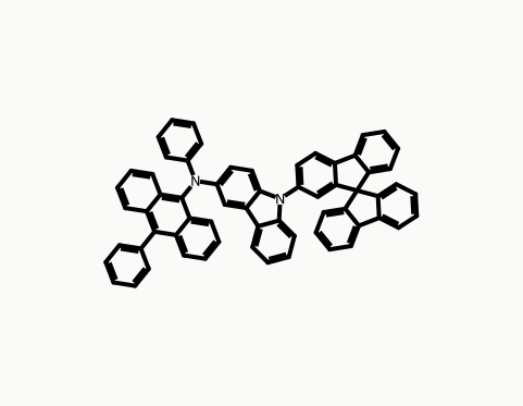 c1ccc(-c2c3ccccc3c(N(c3ccccc3)c3ccc4c(c3)c3ccccc3n4-c3ccc4c(c3)C3(c5ccccc5-c5ccccc53)c3ccccc3-4)c3ccccc23)cc1